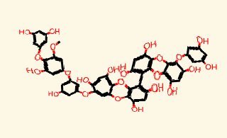 COc1cc(Oc2cc(O)cc(OC3=C=C4Oc5c(O)cc(O)c(-c6c(O)cc(O)c7c6Oc6c(O)cc(O)c(Oc8cc(O)cc(O)c8)c6O7)c5OC4=C(O)C=C3O)c2)cc(O)c1Oc1cc(O)cc(O)c1